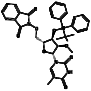 CO[C@@H]1[C@H](O[Si](c2ccccc2)(c2ccccc2)C(C)(C)C)[C@@H](CON2C(=O)c3ccccc3C2=O)O[C@H]1n1cc(C)c(=O)[nH]c1=O